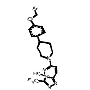 CC(=O)COc1ccc(C2CCN(C3=N[N+]4(O)C(=NN=C4C(F)(F)F)C=C3)CC2)cc1